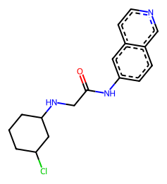 O=C(CNC1CCCC(Cl)C1)Nc1ccc2cnccc2c1